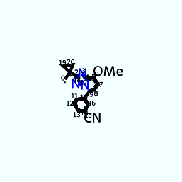 [CH2]C1(c2nc3c(OC)ccc(-c4cccc(C#N)c4)n3n2)CC1